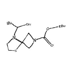 CC(C)(C)OC(=O)N1CC2(C1)SCCN2C(O)C(C)(C)C